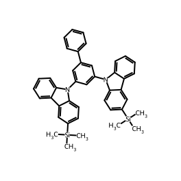 C[Si](C)(C)c1ccc2c(c1)c1ccccc1n2-c1cc(-c2ccccc2)cc(-n2c3ccccc3c3cc([Si](C)(C)C)ccc32)c1